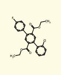 CCOC(=O)c1cc(-c2ccccc2Cl)c(C(=O)OCC)cc1-c1ccc(F)cc1